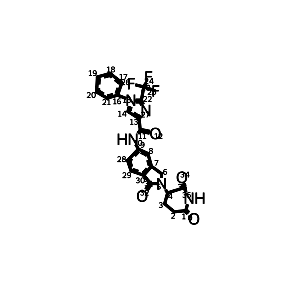 O=C1CCC(N2Cc3cc(NC(=O)c4cn(-c5ccccc5)c(C(F)(F)F)n4)ccc3C2=O)C(=O)N1